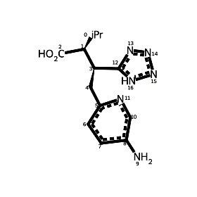 CC(C)[C@H](C(=O)O)[C@H](Cc1ccc(N)cn1)c1nnn[nH]1